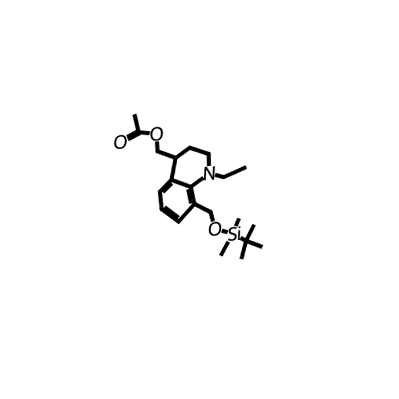 CCN1CCC(COC(C)=O)c2cccc(CO[Si](C)(C)C(C)(C)C)c21